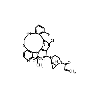 C=CC(=O)N1CCN(c2nc(=O)n3c4nc(c(Cl)cc24)-c2c(F)cccc2NCCSc2ccnc(C(C)C)c2-3)[C@@H]2CC21